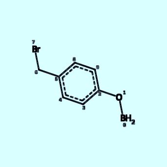 BOc1ccc(CBr)cc1